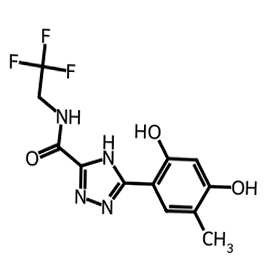 Cc1cc(-c2nnc(C(=O)NCC(F)(F)F)[nH]2)c(O)cc1O